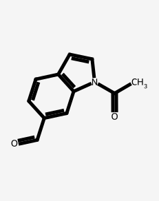 CC(=O)n1ccc2ccc(C=O)cc21